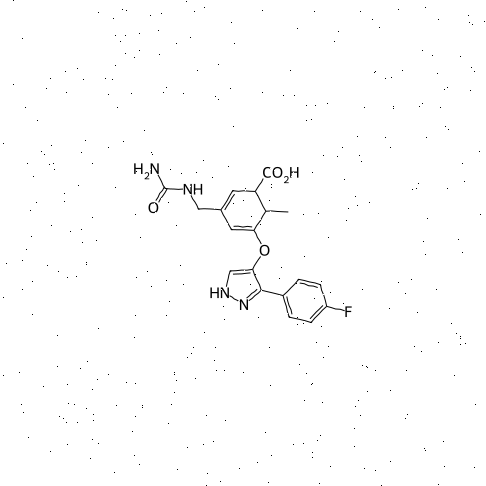 CC1C(Oc2c[nH]nc2-c2ccc(F)cc2)=CC(CNC(N)=O)=CC1C(=O)O